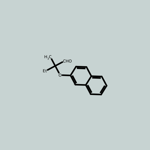 CCC(C)(C=O)Oc1[c]c2ccccc2cc1